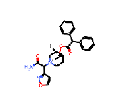 NC(=O)C(c1ccon1)[N+]12CCC(CC1)[C@@H](OC(=O)C(c1ccccc1)c1ccccc1)C2